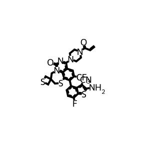 C=CC(=O)N1CCN(c2nc(=O)n3c4c(c(-c5ccc(F)c6sc(N)c(C#N)c56)c(C(F)(F)F)cc24)SCC2(CSC2)C3)CC1